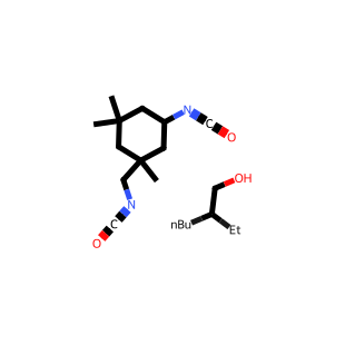 CC1(C)CC(N=C=O)CC(C)(CN=C=O)C1.CCCCC(CC)CO